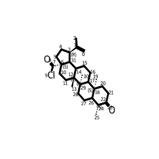 C=C(C)[C@@H]1CC[C@]2(C(=O)Cl)CC[C@]3(C)C(CCC4[C@@]5(C)CCC(=O)[C@H](C)C5CC[C@]43C)C12